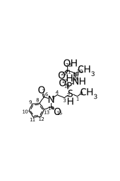 CC[SH](CCN1C(=O)c2ccccc2C1=O)[PH](=O)N[C@@H](C)C(=O)O